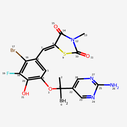 BC(C)(Oc1cc(/C=C2\SC(=O)N(C)C2=O)c(Br)c(F)c1O)c1cnc(N)nc1